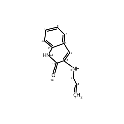 C=CCNc1cc2ccccc2[nH]c1=O